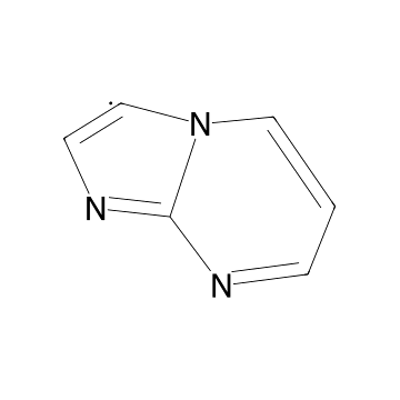 [c]1cnc2ncccn12